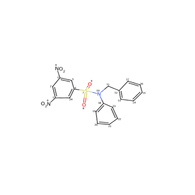 O=[N+]([O-])c1cc([N+](=O)[O-])cc(S(=O)(=O)N(Cc2ccccc2)c2ccccc2)c1